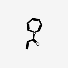 C=CC(=O)N1C=CC=CC=C1